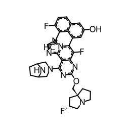 C#Cc1c(F)ccc2cc(O)cc(-c3c(F)c4nc(OC[C@@]56CCCN5C[C@H](F)C6)nc(N5CC6CCC(C5)N6)c4c4ncnn34)c12